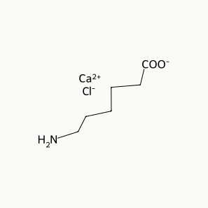 NCCCCCC(=O)[O-].[Ca+2].[Cl-]